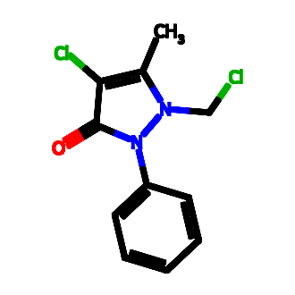 Cc1c(Cl)c(=O)n(-c2ccccc2)n1CCl